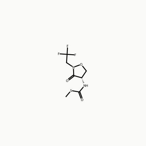 CSC(=O)N[C@H]1CON(CC(F)(F)F)C1=O